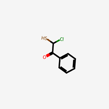 O=C(c1ccccc1)C(S)Cl